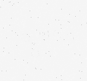 O=S(=O)(N[C@H]1CC[C@@H](N2c3ccccc3CCc3ccccc32)[C@@H]1O)c1ccc(OCF)cc1